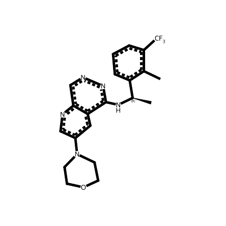 Cc1c([C@@H](C)Nc2nncc3ncc(N4CCOCC4)cc23)cccc1C(F)(F)F